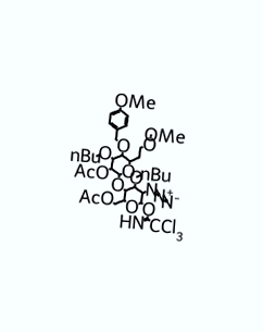 CCCCOC1C(N=[N+]=[N-])C(OC(=N)C(Cl)(Cl)Cl)OC(COC(C)=O)C1OC1OC(CCOOC)C(OCc2ccc(OC)cc2)C(OCCCC)C1OC(C)=O